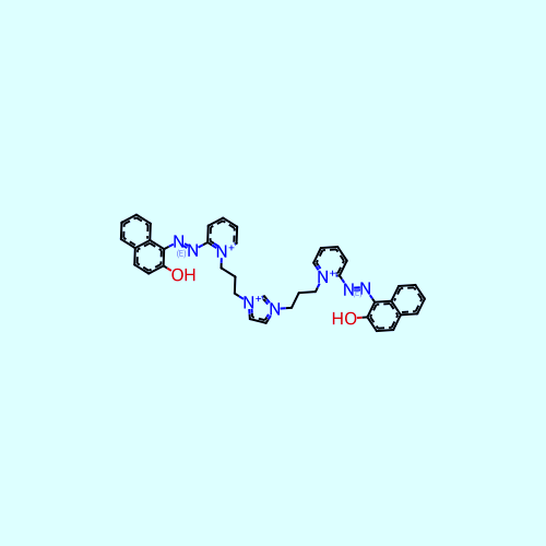 Oc1ccc2ccccc2c1/N=N/c1cccc[n+]1CCCn1cc[n+](CCC[n+]2ccccc2/N=N/c2c(O)ccc3ccccc23)c1